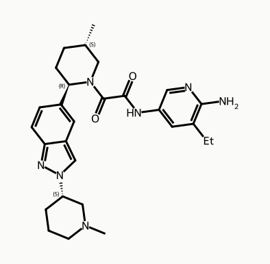 CCc1cc(NC(=O)C(=O)N2C[C@@H](C)CC[C@@H]2c2ccc3nn([C@H]4CCCN(C)C4)cc3c2)cnc1N